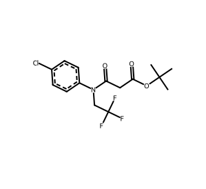 CC(C)(C)OC(=O)CC(=O)N(CC(F)(F)F)c1ccc(Cl)cc1